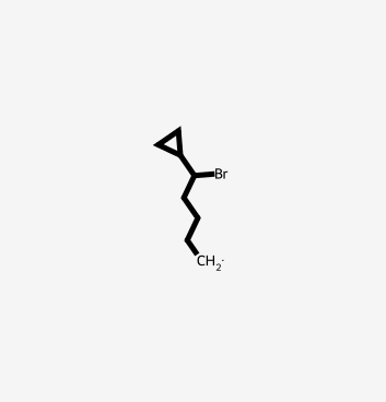 [CH2]CCCC(Br)C1CC1